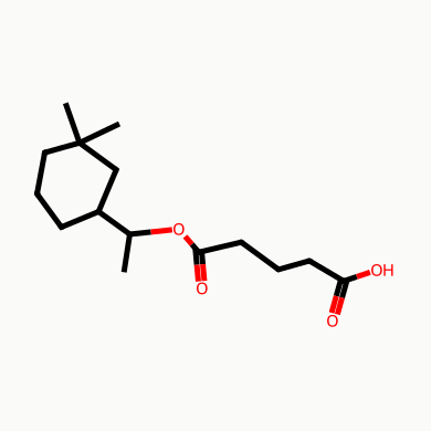 CC(OC(=O)CCCC(=O)O)C1CCCC(C)(C)C1